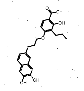 CCCc1c(OCCCc2ccc3cc(O)c(O)cc3c2)ccc(C(=O)O)c1O